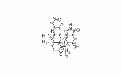 CC1CCC2C(C)(C)C(=NN3CCOCC3)CCC23OC2=C4CNC(=O)C4CC(O)C2CC13C